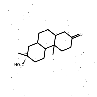 CC12CCC(=O)CC1CCC1C[C@@](C)(C(=O)O)CCC12